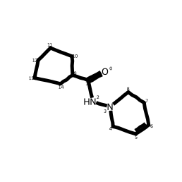 O=C(NN1CC=CCC1)C1CCCCC1